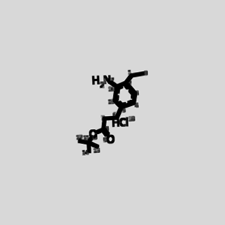 CCc1ccc(CCC(=O)OC(C)(C)C)cc1N.Cl